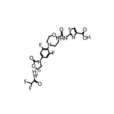 O=C(O)c1csc(NC(=O)N2CCN(c3c(F)cc(N4C[C@H](CNC(=O)C(F)F)OC4=O)cc3F)CCO2)n1